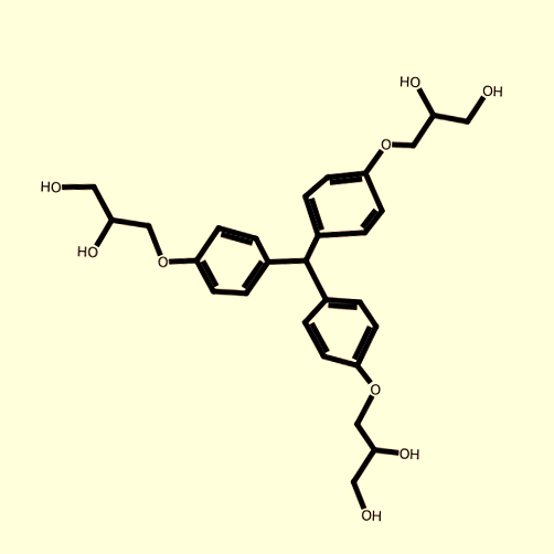 OCC(O)COc1ccc(C(c2ccc(OCC(O)CO)cc2)c2ccc(OCC(O)CO)cc2)cc1